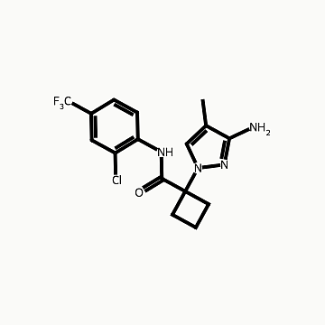 Cc1cn(C2(C(=O)Nc3ccc(C(F)(F)F)cc3Cl)CCC2)nc1N